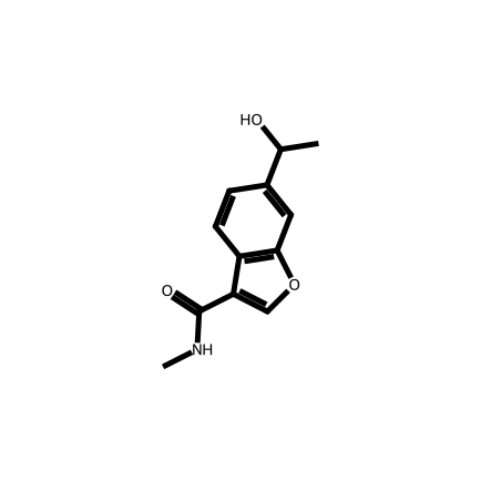 CNC(=O)c1coc2cc(C(C)O)ccc12